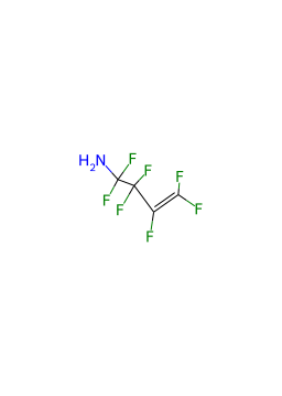 NC(F)(F)C(F)(F)C(F)=C(F)F